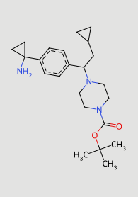 CC(C)(C)OC(=O)N1CCN(C(CC2CC2)c2ccc(C3(N)CC3)cc2)CC1